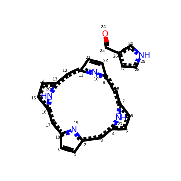 C1=Cc2cc3ccc(cc4nc(cc5ccc(cc1n2)[nH]5)C=C4)[nH]3.O=Cc1cc[nH]c1